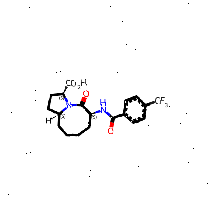 O=C(N[C@H]1CCCC[C@H]2CC[C@@H](C(=O)O)N2C1=O)c1ccc(C(F)(F)F)cc1